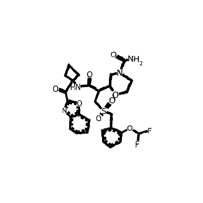 NC(=O)N1CCOC(C(CS(=O)(=O)Cc2ccccc2OC(F)F)C(=O)NC2(C(=O)c3nc4ccccc4o3)CCC2)C1